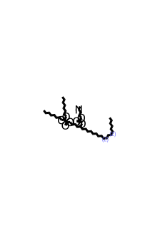 CCCCC/C=C\C/C=C\CCCCCCCCC(CCCOC(=O)C(OCCCCCCC)OCCCCCCC)OC(=O)OCCN(C)C